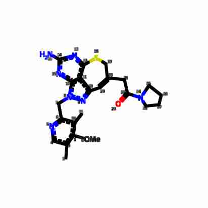 COc1c(C)cnc(Cn2nc3c4c(nc(N)nc42)SCC(CC(=O)N2CCCC2)=C3)c1C